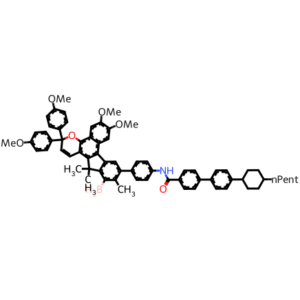 Bc1c(C)c(-c2ccc(NC(=O)c3ccc(-c4ccc(C5CCC(CCCCC)CC5)cc4)cc3)cc2)cc2c1C(C)(C)c1c3c(c4cc(OC)c(OC)cc4c1-2)OC(c1ccc(OC)cc1)(c1ccc(OC)cc1)C=C3